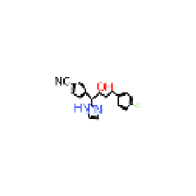 N#Cc1ccc(C(c2ncc[nH]2)C(O)CCc2ccc(F)cc2)cc1